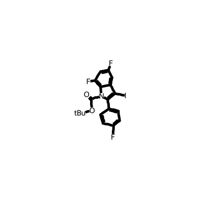 CC(C)(C)OC(=O)n1c(-c2ccc(F)cc2)c(I)c2cc(F)cc(F)c21